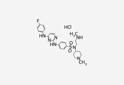 CNCCN(C1CCN(C)CC1)S(=O)(=O)c1ccc(Nc2nccc(Nc3ccc(F)cc3)n2)cc1.Cl